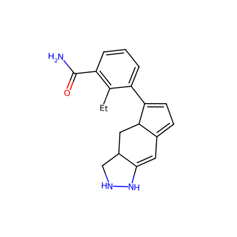 CCc1c(C(N)=O)cccc1C1=CC=C2C=C3NNCC3CC21